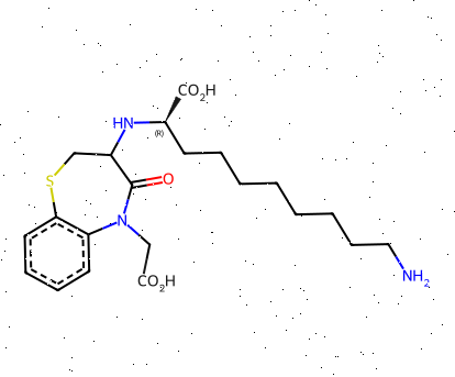 NCCCCCCCC[C@@H](NC1CSc2ccccc2N(CC(=O)O)C1=O)C(=O)O